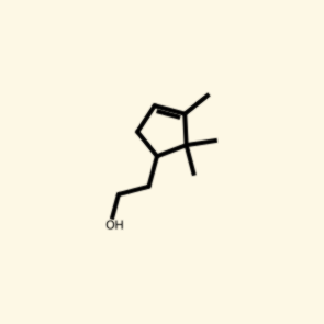 CC1=CCC(CCO)C1(C)C